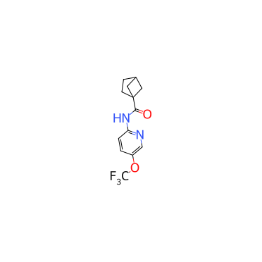 O=C(Nc1ccc(OC(F)(F)F)cn1)C12CCC(C1)C2